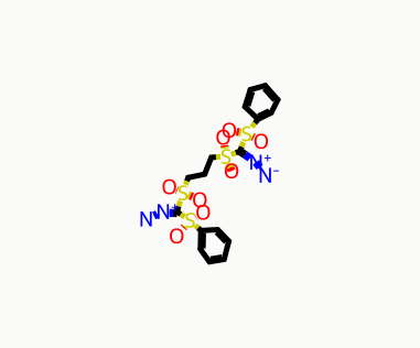 [N-]=[N+]=C(S(=O)(=O)CCCS(=O)(=O)C(=[N+]=[N-])S(=O)(=O)c1ccccc1)S(=O)(=O)c1ccccc1